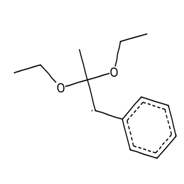 CCOC(C)([CH]c1ccccc1)OCC